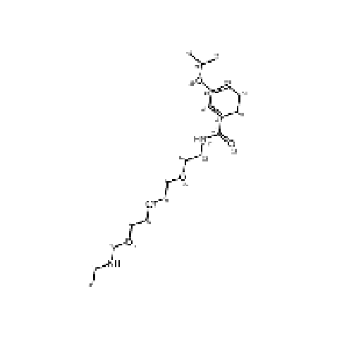 CCNCOCCOCCOCCNC(=O)C1=CC(OC(C)C)=CCC1